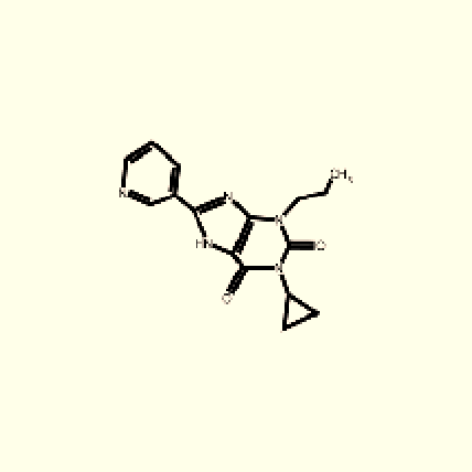 CCCn1c(=O)n(C2CC2)c(=O)c2[nH]c(-c3cccnc3)nc21